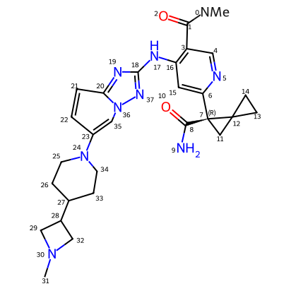 CNC(=O)c1cnc([C@@]2(C(N)=O)CC23CC3)cc1Nc1nc2ccc(N3CCC(C4CN(C)C4)CC3)cn2n1